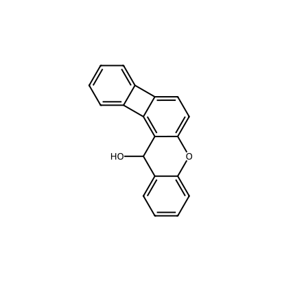 OC1c2ccccc2Oc2ccc3c(c21)-c1ccccc1-3